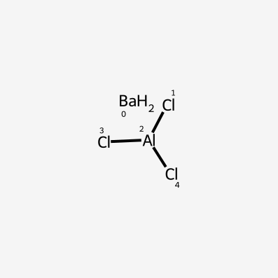 [BaH2].[Cl][Al]([Cl])[Cl]